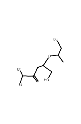 C=C(CC(CO)OC(C)CC(C)CC)C(CC)CC